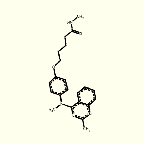 CNC(=O)CCCCOc1ccc(N(C)c2nc(C)nc3ccccc23)cc1